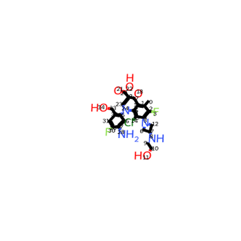 Cc1c(F)c(N2CC(NCCO)C2)c(Cl)c2c1c(=O)c(C(=O)O)cn2-c1cc(N)c(F)cc1CO